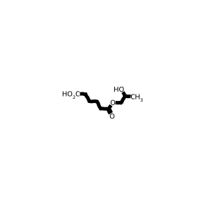 CC(O)[C]OC(=O)CCCCC(=O)O